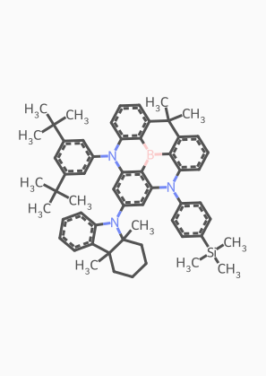 CC(C)(C)c1cc(N2c3cc(N4c5ccccc5C5(C)CCCCC45C)cc4c3B3c5c(cccc5C(C)(C)c5cccc2c53)N4c2ccc([Si](C)(C)C)cc2)cc(C(C)(C)C)c1